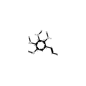 CC=Cc1cc(OC)c(OC)c(OC)c1OC